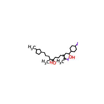 CC1CCC(CCCC(C)[C@H](O)CCC[C@@H](CC(O)C2CCC(I)CC2)[C@@H](C)I)C1